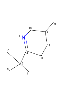 CC1CCC(C(C)(C)C)=NC1